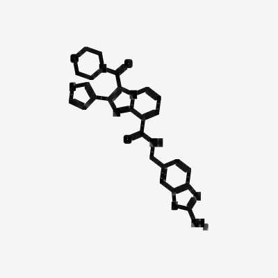 Nc1nc2ccc(CNC(=O)c3cccn4c(C(=O)N5CCOCC5)c(-c5ccsc5)nc34)cc2s1